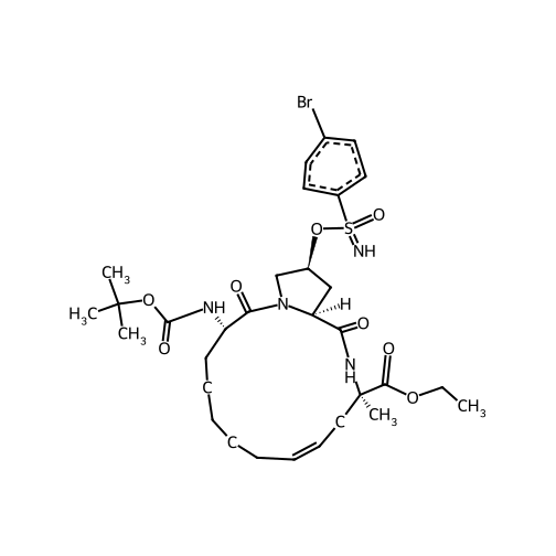 CCOC(=O)[C@@]1(C)C/C=C\CCCCC[C@H](NC(=O)OC(C)(C)C)C(=O)N2C[C@@H](OS(=N)(=O)c3ccc(Br)cc3)C[C@H]2C(=O)N1